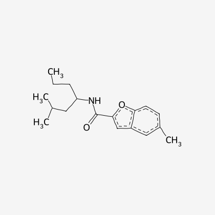 CCCC(CC(C)C)NC(=O)c1cc2cc(C)ccc2o1